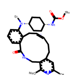 CCN(c1cccc2c1C/C=C\CCc1cc(C)nc(OC)c1CNC2=O)[C@H]1CC[C@@H](NC(=O)OC(C)(C)C)CC1